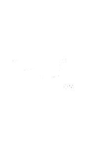 COC(C)OCC[O]